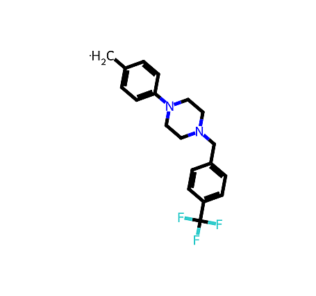 [CH2]c1ccc(N2CCN(Cc3ccc(C(F)(F)F)cc3)CC2)cc1